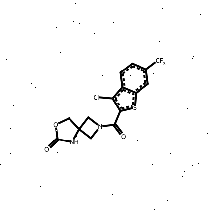 O=C1NC2(CO1)CN(C(=O)c1sc3cc(C(F)(F)F)ccc3c1Cl)C2